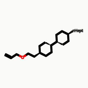 C=CCOCC[C@H]1CC[C@H]([C@H]2CC[C@H](CCCCCCC)CC2)CC1